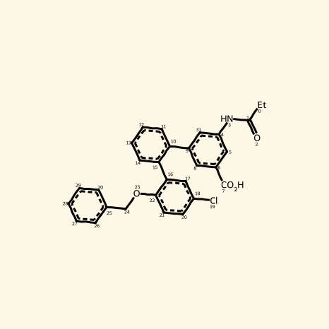 CCC(=O)Nc1cc(C(=O)O)cc(-c2ccccc2-c2cc(Cl)ccc2OCc2ccccc2)c1